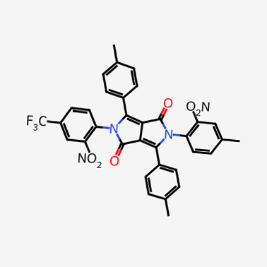 Cc1ccc(C2=C3C(=O)N(c4ccc(C(F)(F)F)cc4[N+](=O)[O-])C(c4ccc(C)cc4)=C3C(=O)N2c2ccc(C)cc2[N+](=O)[O-])cc1